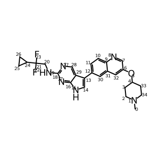 CN1CCC(Oc2cnc3ccc(-c4c[nH]c5nc(NCC(F)(F)C6CC6)ncc45)cc3c2)CC1